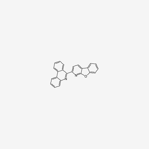 c1ccc2c(c1)nc(-c1ccc3c(n1)oc1ccccc13)c1ccccc12